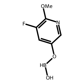 COc1ncc(OBO)cc1F